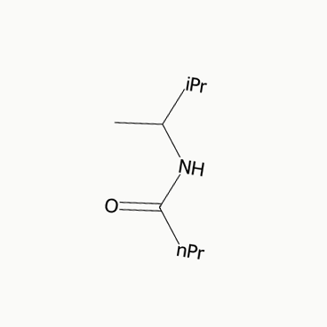 CCCC(=O)NC(C)C(C)C